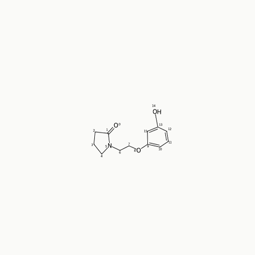 O=C1CCCN1CCOc1cccc(O)c1